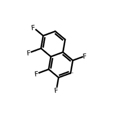 Fc1[c]c(F)c2ccc(F)c(F)c2c1F